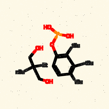 CC(C)(C)c1ccc(OP(O)O)c(C(C)(C)C)c1C(C)(C)C.CCCCC(CC)(CO)CO